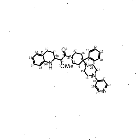 COC(C(=O)N1CCC(c2ccccc2)(N2CCN(c3ccncc3)CC2)CC1)C1CCc2ccccc2N1